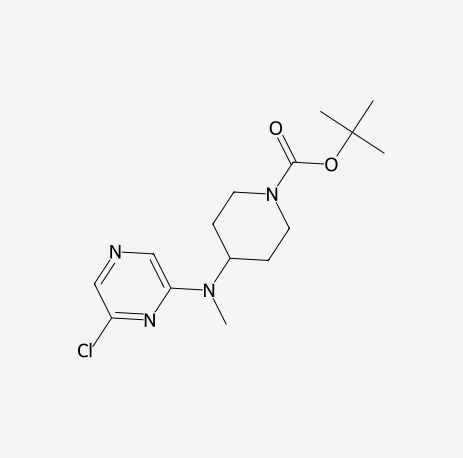 CN(c1cncc(Cl)n1)C1CCN(C(=O)OC(C)(C)C)CC1